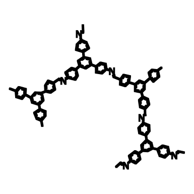 CC=Nc1ccc(-c2cc(-c3ccc(/N=C/C)cc3)cc(-c3ccc(/N=C/c4ccc(-c5cc(-c6ccc(C)cc6)cc(-c6ccc(/C=N/c7ccc(-c8cc(-c9ccc(N=CC)cc9)cc(-c9ccc(/N=C/c%10ccc(-c%11cc(-c%12ccc(C)cc%12)cc(-c%12ccc(C)cc%12)c%11)cc%10)cc9)c8)cc7)cc6)c5)cc4)cc3)c2)cc1